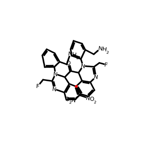 NCc1ccccc1N1C(CF)=Nc2ccc([N+](=O)[O-])cc2C1C(=O)C1c2cc([N+](=O)[O-])ccc2N=C(CF)N1c1ccccc1CN